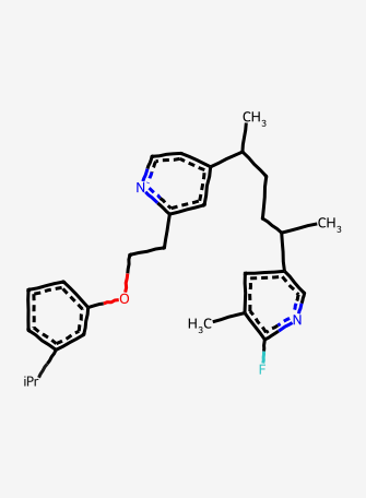 Cc1cc(C(C)CCC(C)c2ccnc(CCOc3cccc(C(C)C)c3)c2)cnc1F